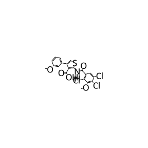 COc1cccc(-c2csc(NC(=O)c3cc(Cl)c(Cl)c(OC)c3Cl)c2C(=O)O)c1